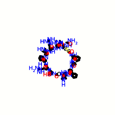 CCC1NC(=O)C(Cc2ccccc2)NC(=O)CSCC(C(=O)NCC(N)=O)NC(=O)C(Cc2cncn2C)NC(=O)C(CCCNC(=N)N)NC(=O)C(Cc2c[nH]cn2)NC(=O)C(Cc2ccccc2)N(C)C(=O)C(CCCNC(=N)N)NC(=O)C(CO)NC(=O)CNC(=O)C(Cc2c[nH]cn2)NC(=O)C(Cc2c[nH]c3ccccc23)NC1=O